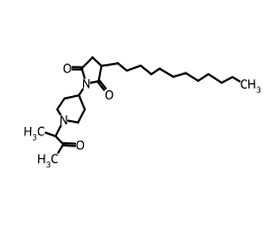 CCCCCCCCCCCCC1CC(=O)N(C2CCN(C(C)C(C)=O)CC2)C1=O